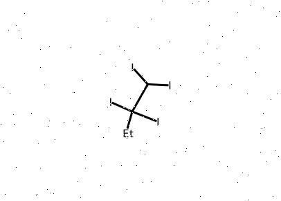 CCC(I)(I)[C](I)I